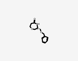 O=C1CCOC[C@@H](COCc2ccccc2)N1